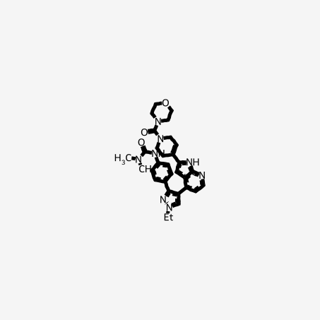 CCn1cc(-c2ccnc3[nH]c(C4=CCN(C(=O)N5CCOCC5)CC4)cc23)c(-c2ccc(NC(=O)N(C)C)cc2)n1